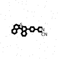 N#Cc1cc(-c2ccc(-c3cc4sc5ccc6ccccc6c5c4c4ccccc34)cc2)ccn1